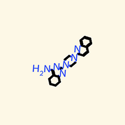 Nc1nc(N2CCN(c3ccc4ccccc4n3)CC2)nc2c1CCCC2